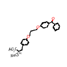 CO[C@@H](Cc1ccc(OCCCOc2ccc(C(=O)c3ccccc3)cc2)cc1)C(=O)O